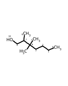 CCCCC(C)(C)C(C)CO